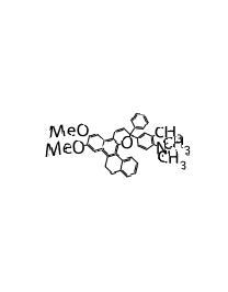 COc1cc2c3c(c4c(c2cc1OC)CCc1ccccc1-4)OC(c1ccccc1)(c1ccc(N(C)C)c(C)c1)C=C3